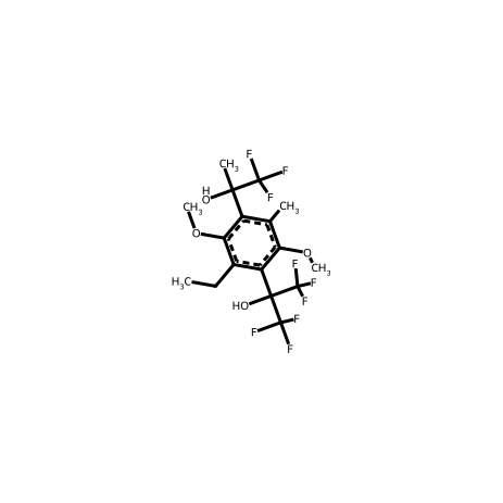 CCc1c(OC)c(C(C)(O)C(F)(F)F)c(C)c(OC)c1C(O)(C(F)(F)F)C(F)(F)F